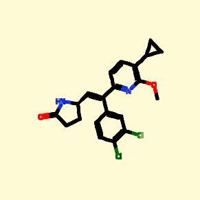 COc1nc(/C(=C/[C@H]2CCC(=O)N2)c2ccc(Cl)c(Cl)c2)ccc1C1CC1